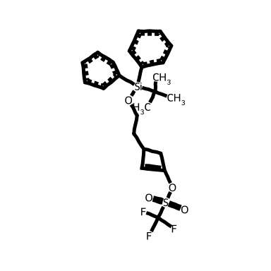 CC(C)(C)[Si](OCCC1C=C(OS(=O)(=O)C(F)(F)F)C1)(c1ccccc1)c1ccccc1